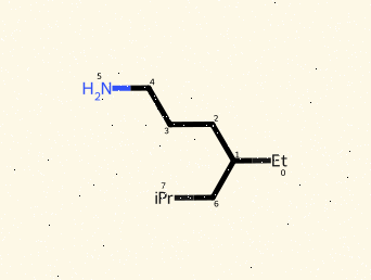 CCC(CCCN)CC(C)C